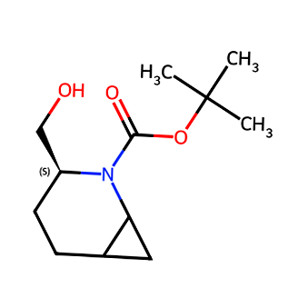 CC(C)(C)OC(=O)N1C2CC2CC[C@H]1CO